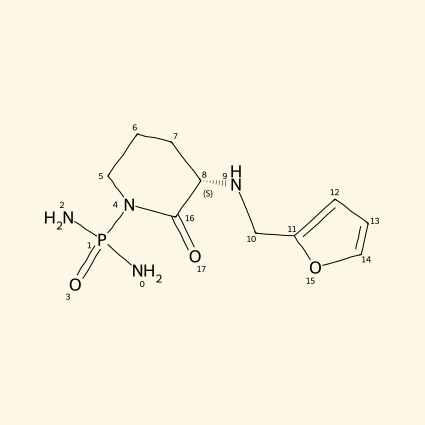 NP(N)(=O)N1CCC[C@H](NCc2ccco2)C1=O